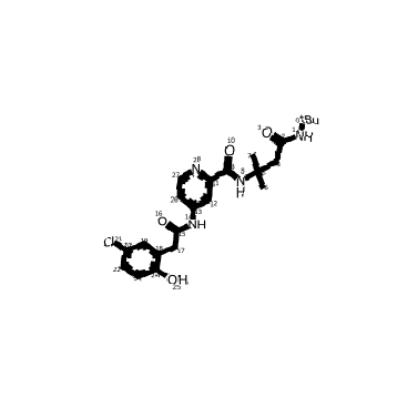 CC(C)(C)NC(=O)CC(C)(C)NC(=O)c1cc(NC(=O)Cc2cc(Cl)ccc2O)ccn1